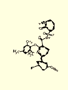 Cc1cc(C)c(Oc2nc(-c3cc(F)cc(OCC(C)C)c3)ccc2C(=O)NS(=O)(=O)c2ccc[nH]c2=O)c(C)c1